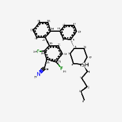 CCCCC[Si@H]1CC[C@H](c2cccc(-c3ccccc3-c3ccc(F)c(C#N)c3F)c2)CC1